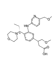 CC[C@H](c1ccc(C(COC)CC(=O)O)cc1Nc1ccc(COC)nc1)N1CCOCC1